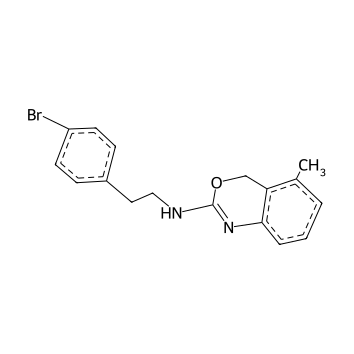 Cc1cccc2c1COC(NCCc1ccc(Br)cc1)=N2